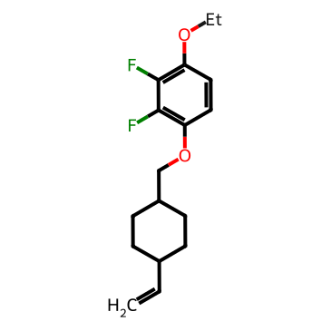 C=CC1CCC(COc2ccc(OCC)c(F)c2F)CC1